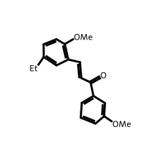 CCc1ccc(OC)c(/C=C/C(=O)c2cccc(OC)c2)c1